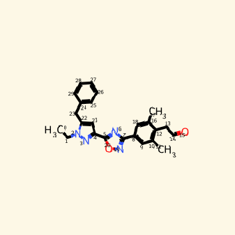 CCn1nc(-c2nc(-c3cc(C)c(CC=O)c(C)c3)no2)cc1Cc1ccccc1